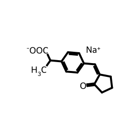 CC(C(=O)[O-])c1ccc(C=C2CCCC2=O)cc1.[Na+]